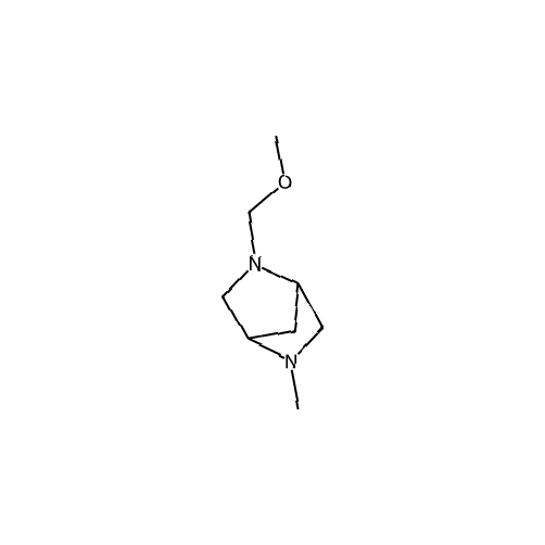 COCN1CC2CC1CN2C